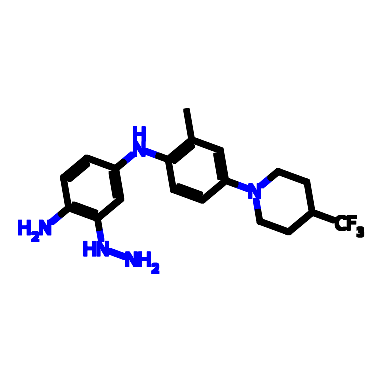 Cc1cc(N2CCC(C(F)(F)F)CC2)ccc1Nc1ccc(N)c(NN)c1